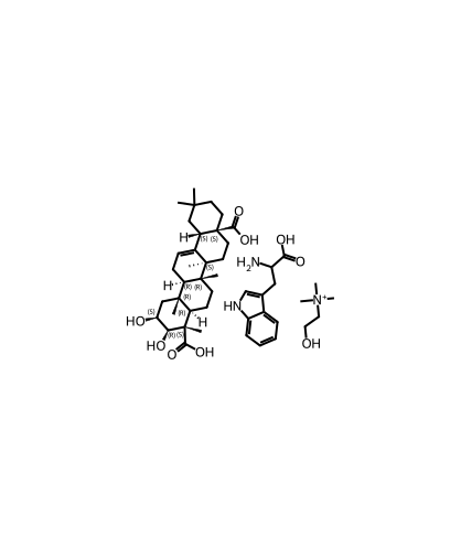 CC1(C)CC[C@]2(C(=O)O)CC[C@]3(C)C(=CC[C@@H]4[C@@]5(C)C[C@H](O)[C@H](O)[C@@](C)(C(=O)O)[C@@H]5CC[C@]43C)[C@@H]2C1.C[N+](C)(C)CCO.NC(Cc1c[nH]c2ccccc12)C(=O)O